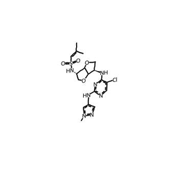 CC(C)=CS(=O)(=O)N[C@H]1COC2C1OC[C@H]2Nc1nc(Nc2cnn(C)c2)ncc1Cl